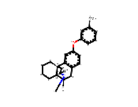 COc1cccc(Oc2ccc3c(c2)[C@@]24CCCC[C@H]2[C@@H](C3)N(C)CC4)c1